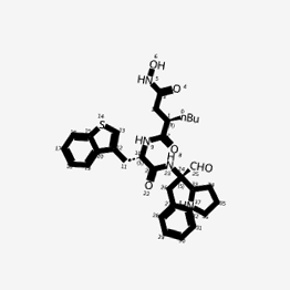 CCCC[C@H](CC(=O)NO)C(=O)N[C@@H](Cc1csc2ccccc12)C(=O)N[C@@](C=O)(Cc1ccccc1)C1CCCN1